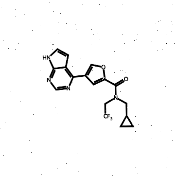 O=C(c1cc(-c2ncnc3[nH]ccc23)co1)N(CC1CC1)CC(F)(F)F